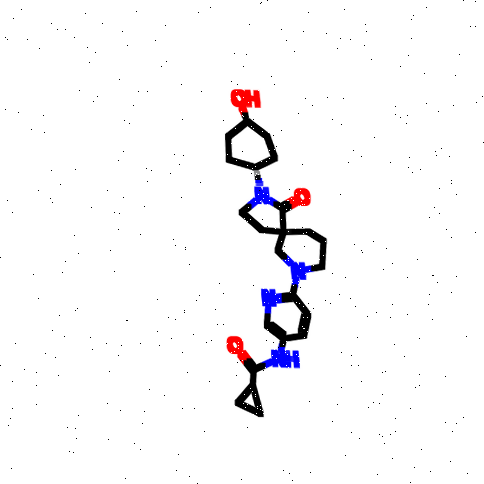 O=C(Nc1ccc(N2CCCC3(CCN([C@H]4CC[C@H](O)CC4)C3=O)C2)nc1)C1CC1